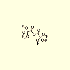 O=C(OC(=O)C(OF)(OF)OF)C(OF)(OF)OF